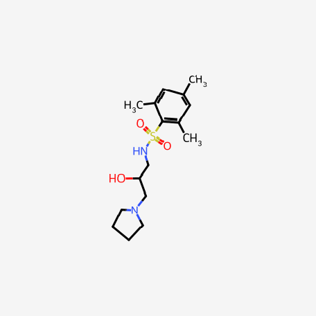 Cc1cc(C)c(S(=O)(=O)NCC(O)CN2CCCC2)c(C)c1